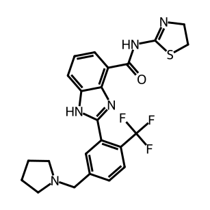 O=C(NC1=NCCS1)c1cccc2[nH]c(-c3cc(CN4CCCC4)ccc3C(F)(F)F)nc12